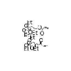 C=CC(=O)OCC[Si](OCC)(OCC)OCC.C=CC(=O)OC[Si](OCC)(OCC)OCC